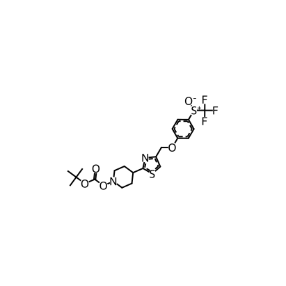 CC(C)(C)OC(=O)ON1CCC(c2nc(COc3ccc([S+]([O-])C(F)(F)F)cc3)cs2)CC1